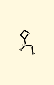 SS[SH](S)C1CCS1